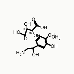 NCC(O)c1ccc(O)c(O)c1.O.O=C(O)[C@H](O)[C@@H](O)C(=O)O